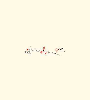 C[C@H](CCCCOC(=O)OCCCC[C@@H](C)O[N+](=O)[O-])O[N+](=O)[O-]